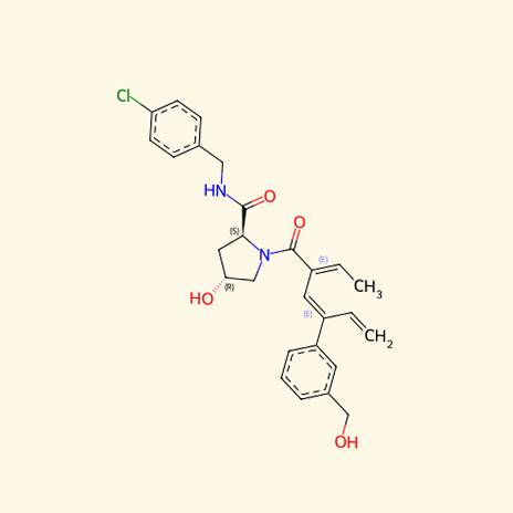 C=C/C(=C\C(=C/C)C(=O)N1C[C@H](O)C[C@H]1C(=O)NCc1ccc(Cl)cc1)c1cccc(CO)c1